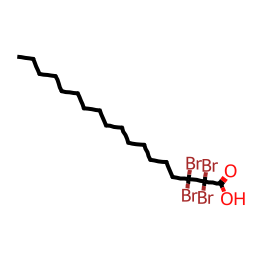 CCCCCCCCCCCCCCCC(Br)(Br)C(Br)(Br)C(=O)O